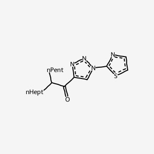 CCCCCCCC(CCCCC)C(=O)c1cn(-c2nccs2)nn1